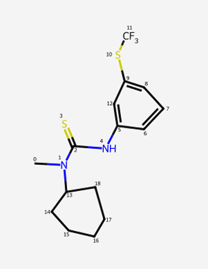 CN(C(=S)Nc1cccc(SC(F)(F)F)c1)C1CCCCC1